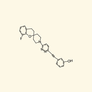 Oc1cccc(C#Cc2ccc(N3CCC4(CCc5cccc(F)c5O4)CC3)nn2)c1